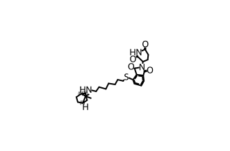 CC1(C)[C@@H]2CC[C@@]1(C)[C@@H](NCCCCCCCSc1cccc3c1C(=O)N(C1CCC(=O)NC1=O)C3=O)C2